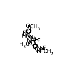 COc1nc(N[C@H]2CCN(C(C)=O)C[C@H]2F)nn2cc(F)c(-c3ccc4nnn(CC(C)(F)F)c4c3)c12